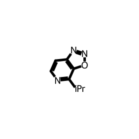 CC(C)c1nccc2nnoc12